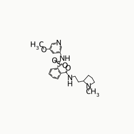 COc1cncc(NS(=O)(=O)c2ccccc2C(=O)NCCC2CCCN2C)c1